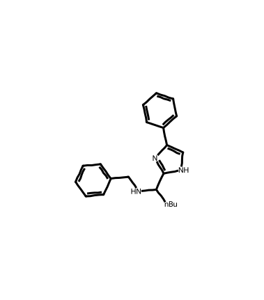 CCCCC(NCc1ccccc1)c1nc(-c2ccccc2)c[nH]1